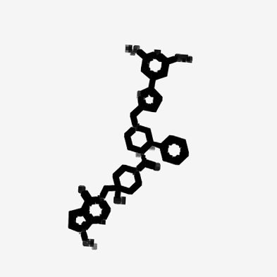 COc1cc(-c2ccc(CN3CC[C@@H](C(=O)N4CCC(O)(Cn5cnc6c(ccn6C)c5=O)CC4)[C@H](c4ccccc4)C3)s2)cc(C)n1